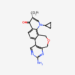 Nc1ncc2c(n1)COCc1c-2ccc2c(=O)c(C(=O)O)cn(C3CC3)c12